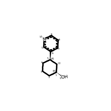 O[C@@H]1CCC[C@@H](c2cccnc2)C1